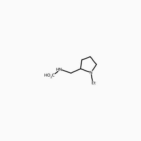 CCN1CCCC1CNC(=O)O